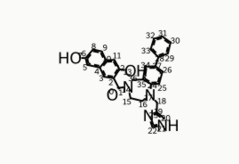 O=C(c1cc2cc(O)ccc2cc1O)N1CCN(Cc2c[nH]cn2)c2ccc(-c3ccccc3)cc2C1